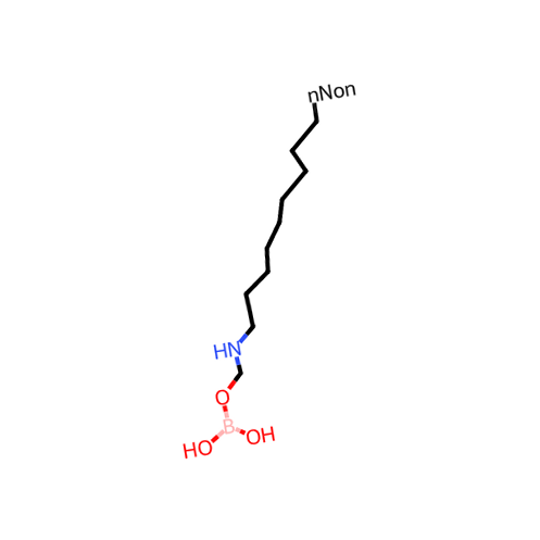 CCCCCCCCCCCCCCCCCCNCOB(O)O